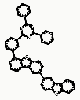 c1ccc(-c2nc(-c3ccccc3)nc(-c3cccc(-c4cccc5c4oc4ccc(-c6ccc7oc8ccccc8c7c6)cc45)c3)n2)cc1